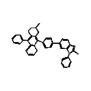 Cc1nc2ccc(-c3ccc(C4=C5CC(C)CCC5=C(c5ccccc5)C5=CC=CCC54)cc3)cc2n1-c1ccccc1